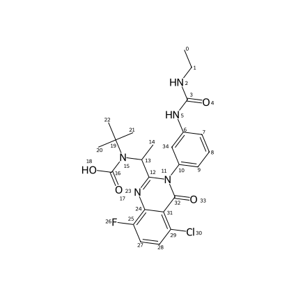 CCNC(=O)Nc1cccc(-n2c(C(C)N(C(=O)O)C(C)(C)C)nc3c(F)ccc(Cl)c3c2=O)c1